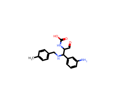 Cc1ccc(CNC(c2cccc(N)c2)C(C=O)NC(=O)O)cc1